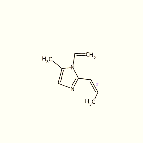 C=Cn1c(C)cnc1/C=C\C